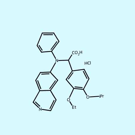 CCOc1cc(C(C(=O)O)N(c2ccccc2)c2ccc3cnccc3c2)ccc1OC(C)C.Cl